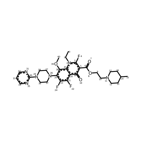 CCn1c(F)c(C(=O)OCCN2CCC(C)CC2)c(=O)c2c(F)c(F)c(N3CCN(c4ncccn4)CC3)c(OC)c21